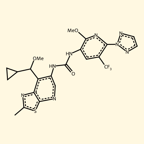 COc1nc(-n2nccn2)c(C(F)(F)F)cc1NC(=O)Nc1cnc2sc(C)nc2c1C(OC)C1CC1